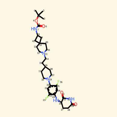 CC(C)(C)OC(=O)NC1CC2(CCN(CCC3CCN(c4cc(F)c(NC5CCC(=O)NC5=O)cc4F)CC3)CC2)C1